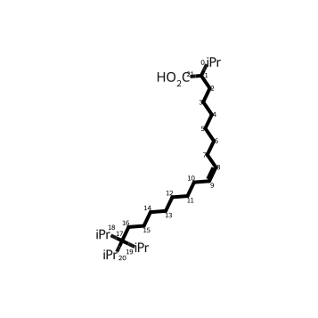 CC(C)C(CCCCCC/C=C\CCCCCCCC(C(C)C)(C(C)C)C(C)C)C(=O)O